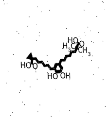 CC(C)(CCCCCCc1cc(O)c(O)c(CCCCCCC2(C(=O)O)CC2)c1)C(=O)O